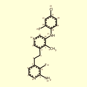 Cc1c(CCc2ccnc(N)c2F)cncc1Nc1ccc(Cl)cc1F